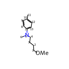 COCCCCN(C)c1ccc(C)cc1